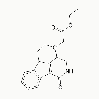 CCOC(=O)CCC12CNC(=O)C3=C1C(CCO2)c1ccccc13